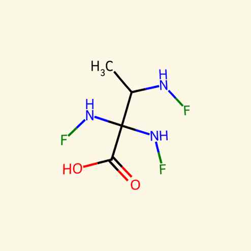 CC(NF)C(NF)(NF)C(=O)O